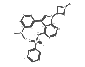 CN1CC(n2cc(-c3cccc(N(C)C)c3)c3c(NS(=O)(=O)c4ccccc4)ccnc32)C1